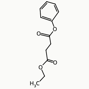 CCOC(=O)CCC(=O)Oc1ccccc1